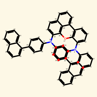 c1ccc(N(c2ccccc2)c2cccc3c2Oc2c(N(c4ccc(-c5cccc6ccccc56)cc4)c4ccc(-c5cccc6ccccc56)cc4)ccc4cccc-3c24)cc1